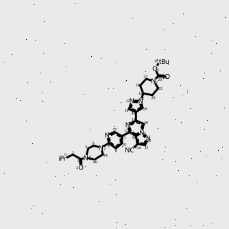 CC(C)CC(=O)N1CCN(c2ccc(-c3nc(-c4cnn(C5CCN(C(=O)OC(C)(C)C)CC5)c4)cn4ncc(C#N)c34)cn2)CC1